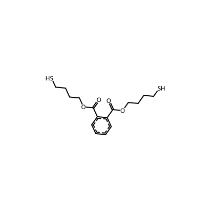 O=C(OCCCCS)c1ccccc1C(=O)OCCCCS